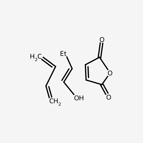 C=CC=C.CCC=CO.O=C1C=CC(=O)O1